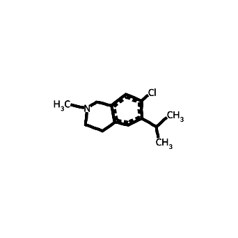 CC(C)c1cc2c(cc1Cl)CN(C)CC2